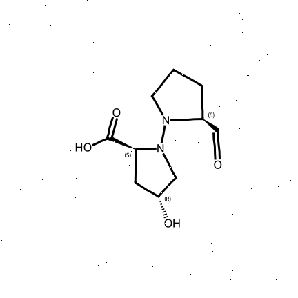 O=C[C@@H]1CCCN1N1C[C@H](O)C[C@H]1C(=O)O